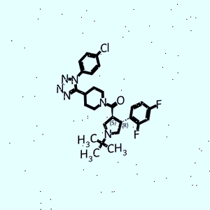 CC(C)(C)N1C[C@@H](C(=O)N2CCC(c3nnnn3-c3ccc(Cl)cc3)CC2)[C@H](c2ccc(F)cc2F)C1